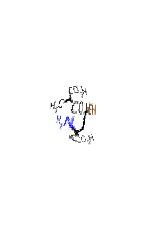 CC(C(=O)O)C(=O)O.NC(CCS)C(=O)O